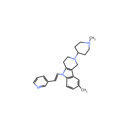 Cc1ccc2c(c1)c1c(n2/C=C/c2cccnc2)CCN(C2CCN(C)CC2)C1